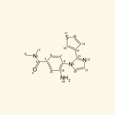 CN(C)C(=O)c1ccc(-n2ccnc2-c2ccsc2)c(N)c1